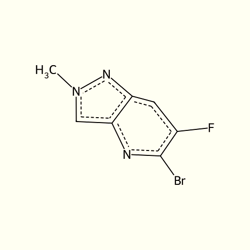 Cn1cc2nc(Br)c(F)cc2n1